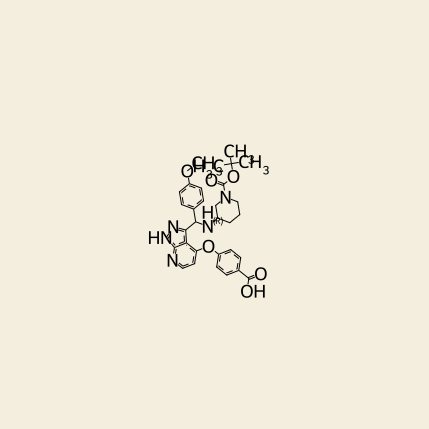 COc1ccc(C(N[C@@H]2CCCN(C(=O)OC(C)(C)C)C2)c2n[nH]c3nccc(Oc4ccc(C(=O)O)cc4)c23)cc1